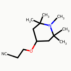 CN1C(C)(C)CC(OCCC#N)CC1(C)C